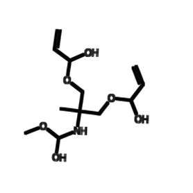 C=CC(O)OCC(C)(COC(O)C=C)NC(O)OC